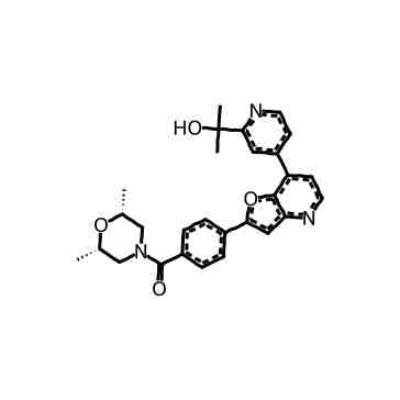 C[C@@H]1CN(C(=O)c2ccc(-c3cc4nccc(-c5ccnc(C(C)(C)O)c5)c4o3)cc2)C[C@H](C)O1